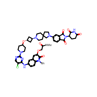 CNC(=O)COc1cc2cc(Nc3nc(N4CCC(O[C@H]5C[C@H](N6CCC7(CCN(c8ccc9c(c8)C(=O)N(C8CCC(=O)NC8=O)C9=O)C7)CC6)C5)CC4)ncc3Cl)ccc2n(C(C)C)c1=O